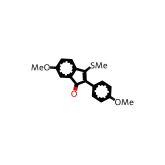 COc1ccc(C2=C(SC)c3ccc(OC)cc3C2=O)cc1